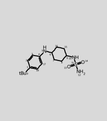 CC(C)(C)c1ccc(NC2CCC(NS(N)(=O)=O)CC2)cc1